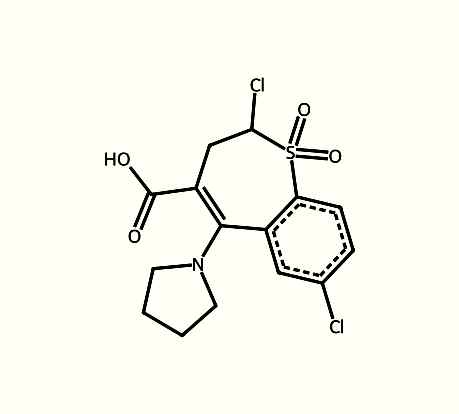 O=C(O)C1=C(N2CCCC2)c2cc(Cl)ccc2S(=O)(=O)C(Cl)C1